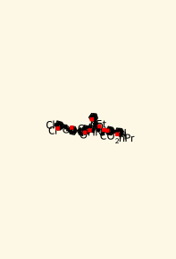 CCCc1cc(-c2ccc(CC(NC(=O)[C@@H]3Cc4cc5c(cc4CN3[C@@H](CC)c3ccccc3)O[C@@H](c3ccc(OCc4ccc(Cl)c(Cl)c4)cc3)CO5)C(=O)O)cc2)ccn1